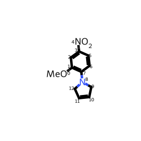 COc1cc([N+](=O)[O-])ccc1N1CC=CC1